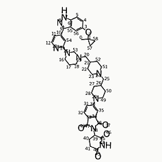 CC1(Oc2ccc3[nH]nc(-c4ccnc(N5CCCN(CC6CCN(CC7CCN(c8ccc9c(c8)C(=O)N(C8CCC(=O)NC8=O)C9=O)CC7)CC6)C5)c4)c3c2)CC1